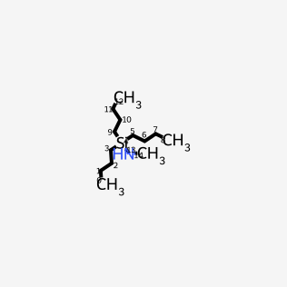 CCCC[Si](CCCC)(CCCC)NC